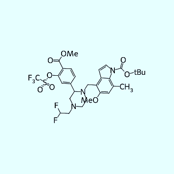 COC(=O)c1ccc(C2CN(CC(F)F)CCN2Cc2c(OC)cc(C)c3c2ccn3C(=O)OC(C)(C)C)cc1OS(=O)(=O)C(F)(F)F